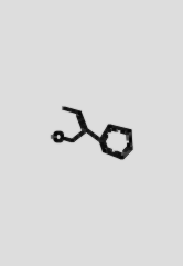 CC=C(C[O])c1ccccc1